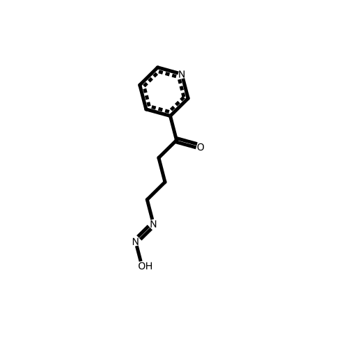 O=C(CCCN=NO)c1cccnc1